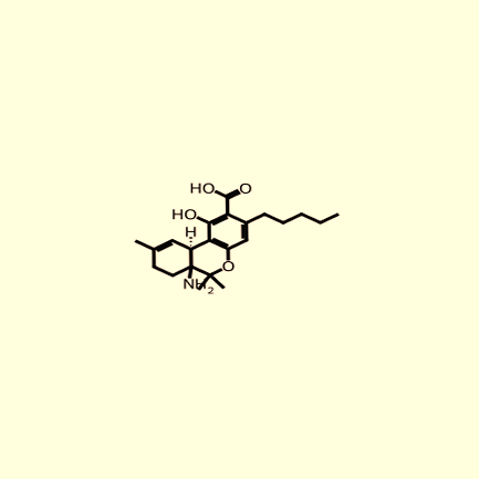 CCCCCc1cc2c(c(O)c1C(=O)O)[C@@H]1C=C(C)CCC1(N)C(C)(C)O2